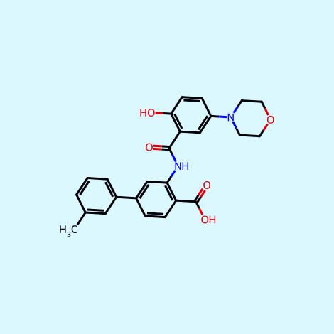 Cc1cccc(-c2ccc(C(=O)O)c(NC(=O)c3cc(N4CCOCC4)ccc3O)c2)c1